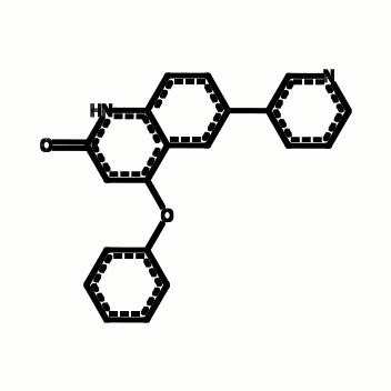 O=c1cc(Oc2ccccc2)c2cc(-c3cccnc3)ccc2[nH]1